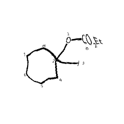 CCOC(=O)OC1(I)CCCCC1